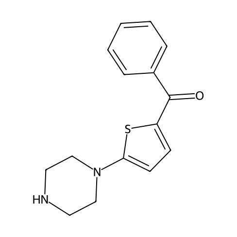 O=C(c1ccccc1)c1ccc(N2CCNCC2)s1